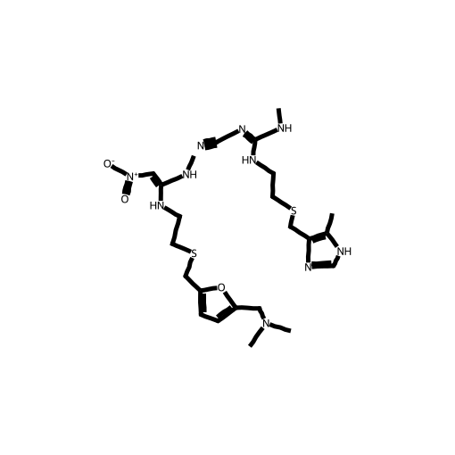 CN/C(=C/[N+](=O)[O-])NCCSCc1ccc(CN(C)C)o1.CN/C(=N/C#N)NCCSCc1nc[nH]c1C